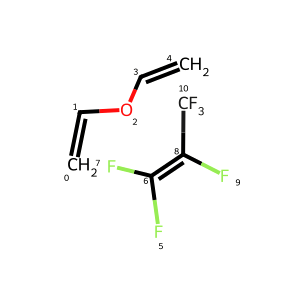 C=COC=C.FC(F)=C(F)C(F)(F)F